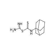 N=C(N)SC(=S)NC12CC3CC(CC(C3)C1)C2